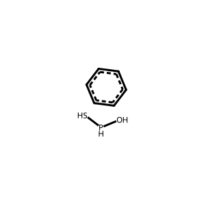 OPS.c1ccccc1